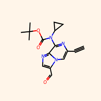 C#Cc1cn2c(C=O)cnc2c(N(C(=O)OC(C)(C)C)C2CC2)n1